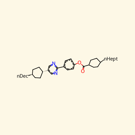 CCCCCCCCCC[C@H]1CC[C@H](c2cnc(-c3ccc(OC(=O)C4CCC(CCCCCCC)CC4)cc3)nc2)CC1